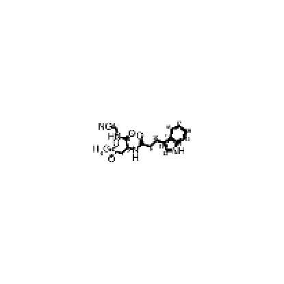 CS(=O)(=O)CC(NC(=O)CCc1c[nH]c2ccccc12)C(=O)NCC#N